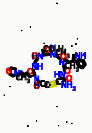 C[C@@H]1NC(=O)C(CC(=O)O)NC(=O)CNC(=O)[C@H](CCCC[N+]2(C)CCOCC2)NC(=O)CCSSCC(C(N)=O)NC(=O)[C@H](C)N(CCc2c[nH]c3ccccc23)C1=O